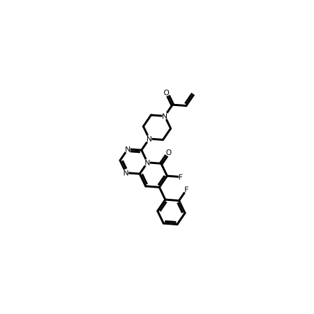 C=CC(=O)N1CCN(c2ncnc3cc(-c4ccccc4F)c(F)c(=O)n23)CC1